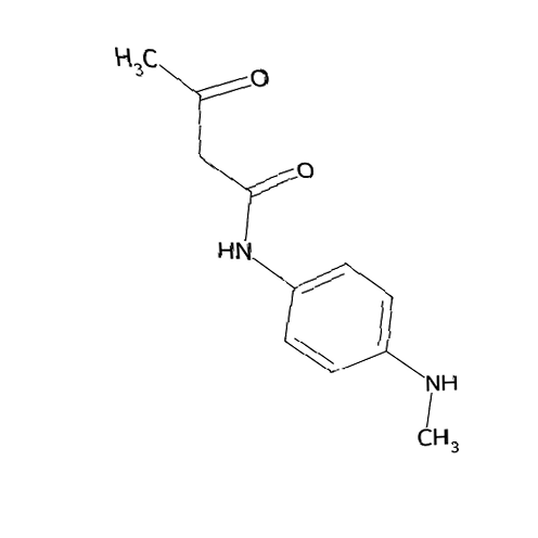 CNc1ccc(NC(=O)CC(C)=O)cc1